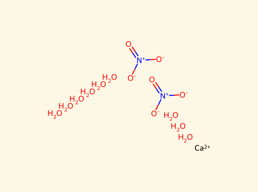 O.O.O.O.O.O.O.O.O.O=[N+]([O-])[O-].O=[N+]([O-])[O-].[Ca+2]